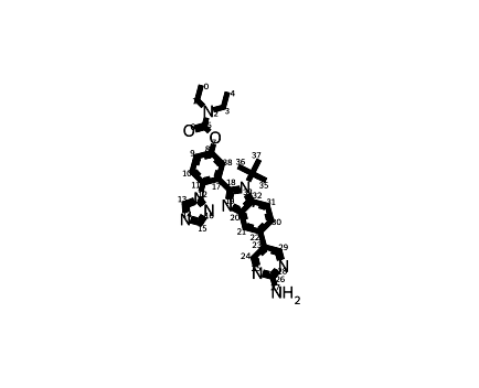 CCN(CC)C(=O)Oc1ccc(-n2cncn2)c(-c2nc3cc(-c4cnc(N)nc4)ccc3n2C(C)(C)C)c1